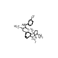 CN1CC[C@@]2(C)c3cc(CN(C(=O)O)C(=O)Nc4cccc(Cl)c4)ccc3N(C)[C@@H]12